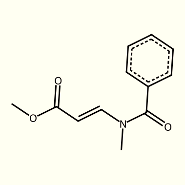 COC(=O)/C=C/N(C)C(=O)c1ccccc1